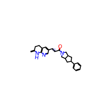 C=C1CCc2cc(/C=C/C(=O)N3CC4CC(c5ccccc5)CC4C3)cnc2N1